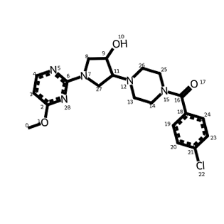 COc1ccnc(N2CC(O)C(N3CCN(C(=O)c4ccc(Cl)cc4)CC3)C2)n1